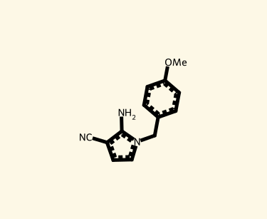 COc1ccc(Cn2ccc(C#N)c2N)cc1